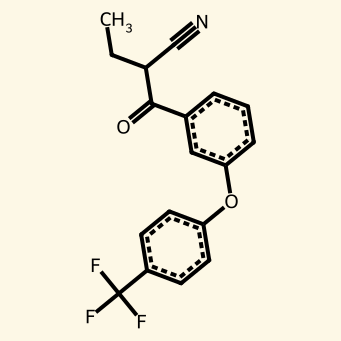 CCC(C#N)C(=O)c1cccc(Oc2ccc(C(F)(F)F)cc2)c1